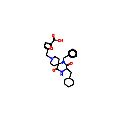 O=C(O)c1ccc(CN2CCC3(CC2)C(=O)NC(CC2CCCCC2)C(=O)N3Cc2ccccc2)o1